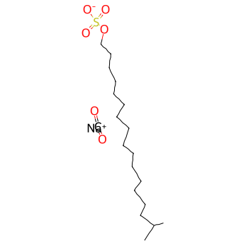 CC(C)CCCCCCCCCCCCCCCOS(=O)(=O)[O-].O=C=O.[Na+]